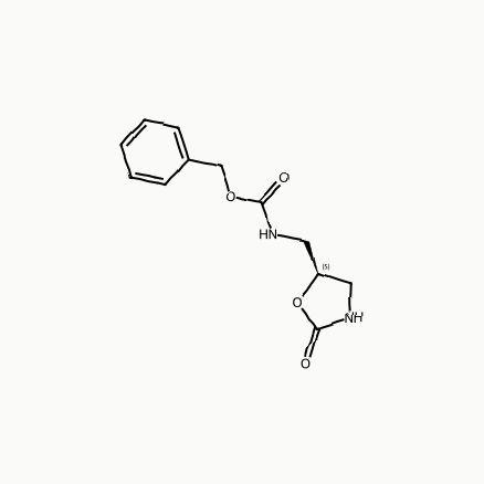 O=C(NC[C@H]1CNC(=O)O1)OCc1ccccc1